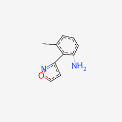 Cc1cccc(N)c1-c1ccon1